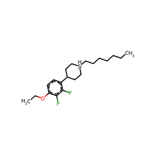 CCCCCCC[SiH]1CCC(c2ccc(OCC)c(F)c2F)CC1